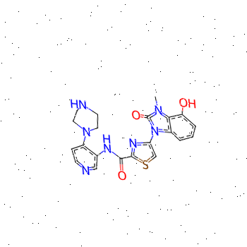 Cn1c(=O)n(-c2csc(C(=O)Nc3cnccc3N3CCNCC3)n2)c2cccc(O)c21